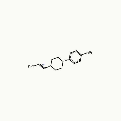 CCC/C=C/[C@H]1CC[C@H](c2ccc(CCC)cc2)CC1